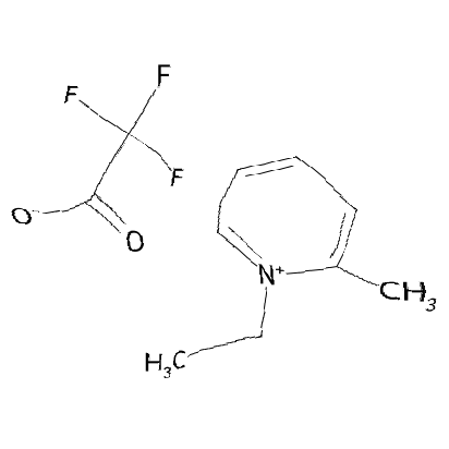 CC[n+]1ccccc1C.O=C([O-])C(F)(F)F